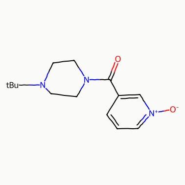 CC(C)(C)N1CCN(C(=O)c2ccc[n+]([O-])c2)CC1